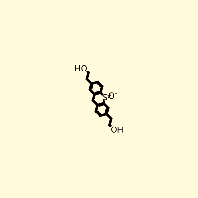 [O-][S+]1c2ccc(CCO)cc2Cc2ccc(CCO)cc21